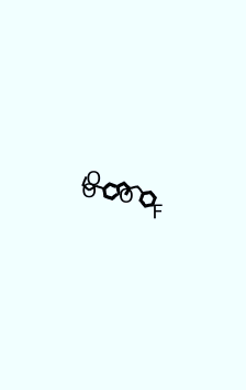 Fc1ccc(Cc2cc3cc(C4OCCO4)ccc3o2)cc1